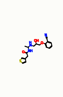 CC(NCC(O)COc1ccccc1C#N)NC(=O)Cc1ccsc1